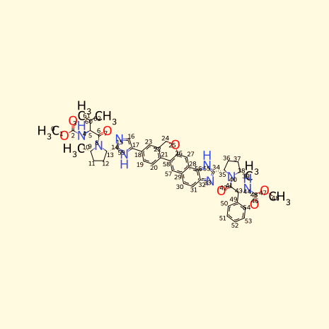 COC(=O)N[C@H](C(=O)N1[C@@H](C)CC[C@H]1c1ncc(-c2ccc3c(c2)COc2cc4c(ccc5nc([C@@H]6CC[C@H](C)N6C(=O)[C@H](NC(=O)OC)c6ccccc6)[nH]c54)cc2-3)[nH]1)C(C)C